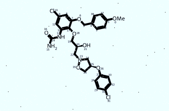 COc1ccc(COc2cc(Cl)cc(NC(N)=O)c2OC[C@@H](O)CN2C[C@@H](Oc3ccc(Cl)cc3)CO2)cc1